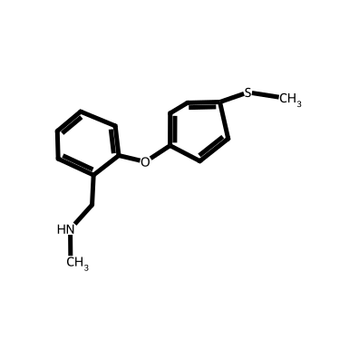 CNCc1ccccc1Oc1ccc(SC)cc1